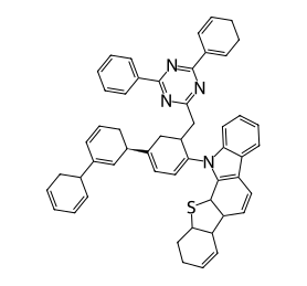 C1=CCC(C2=C[C@H](C3=CC=C(n4c5c(c6ccccc64)C=CC4C5SC5CCC=CC54)C(Cc4nc(C5=CCCC=C5)nc(-c5ccccc5)n4)C3)CC=C2)C=C1